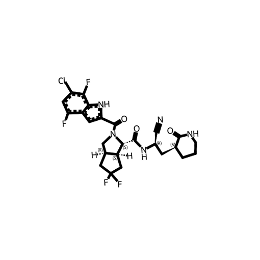 N#C[C@@H](C[C@@H]1CCCNC1=O)NC(=O)[C@@H]1[C@H]2CC(F)(F)C[C@H]2CN1C(=O)c1cc2c(F)cc(Cl)c(F)c2[nH]1